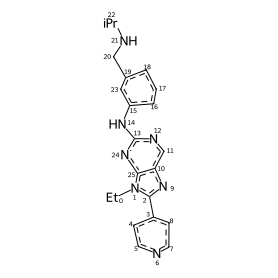 CCn1c(-c2ccncc2)nc2cnc(Nc3cccc(CNC(C)C)c3)nc21